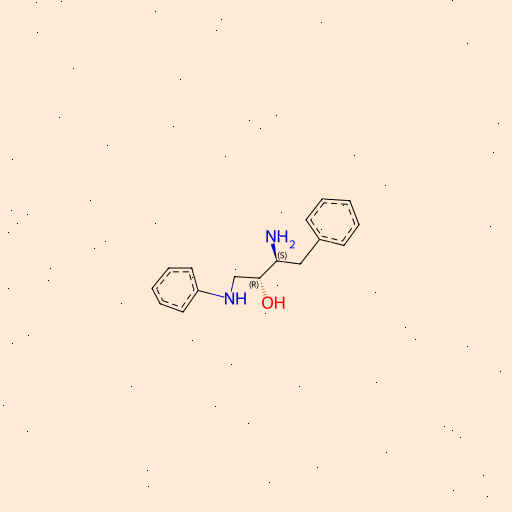 N[C@@H](Cc1ccccc1)[C@H](O)CNc1ccccc1